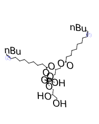 CCCC/C=C\CCCCCCCC(=O)OCC(COP(=O)(O)OCC(O)CO)OC(=O)CCCCCCC/C=C\CCCC